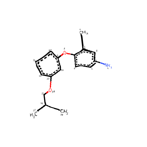 Cc1cc(N)ccc1Oc1cccc(OCC(C)C)c1